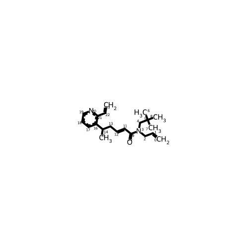 C=CCN(CC(C)(C)C)C(=O)C=CCC(C)c1cccnc1C=C